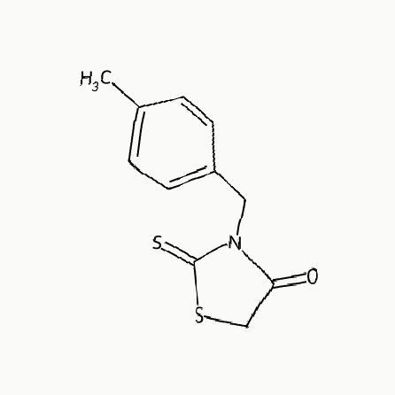 Cc1ccc(CN2C(=O)CSC2=S)cc1